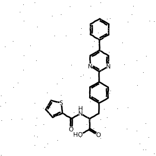 O=C(NC(Cc1ccc(-c2ncc(-c3ccccc3)cn2)cc1)C(=O)O)c1cccs1